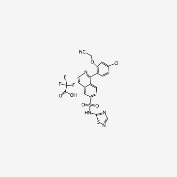 N#CCOc1cc(Cl)ccc1-c1nccc2cc(S(=O)(=O)Nc3ncns3)ccc12.O=C(O)C(F)(F)F